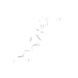 COC1CCN(S(=O)(=O)c2ccc(OC/C(C)=C/F)nc2)C1